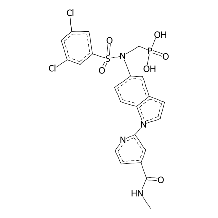 CNC(=O)c1ccnc(-n2ccc3cc(N(CP(=O)(O)O)S(=O)(=O)c4cc(Cl)cc(Cl)c4)ccc32)c1